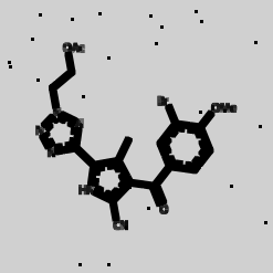 COc1ccc(C(=O)c2c(C#N)[nH]c(-c3nnn(CCOC(C)=O)n3)c2C)cc1Br